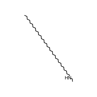 CCCCCCCCCCCCCCCCCCCCCCCCCCCCCCCCNCC